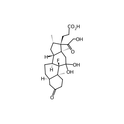 C[C@H]1C[C@H]2[C@@H]3CC[C@@H]4CC(=O)CC[C@]4(C)[C@@]3(F)C(O)(O)C[C@]2(C)[C@@]1(CCC(=O)O)C(=O)CO